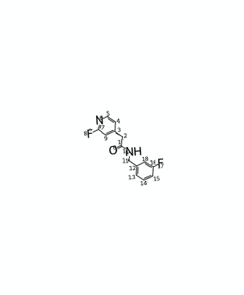 O=C(Cc1ccnc(F)c1)NCc1cccc(F)c1